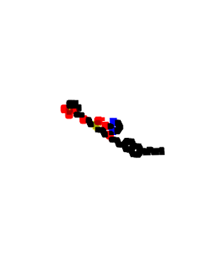 CCCCCc1ccc2cc(CCCOCC(C[S+]([O-])CCOCCOS(C)(=O)=O)Oc3ncccn3)ccc2c1